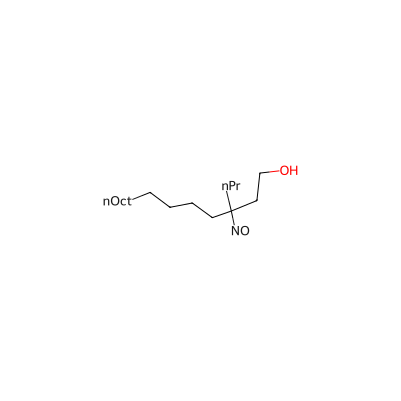 CCCCCCCCCCCCC(CCC)(CCO)N=O